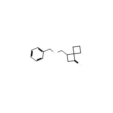 O=C1CC(COCc2ccccc2)C12CCC2